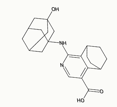 O=C(O)c1cnc(NC23CC4CC(CC(O)(C4)C2)C3)c2c1C1CCC2CC1